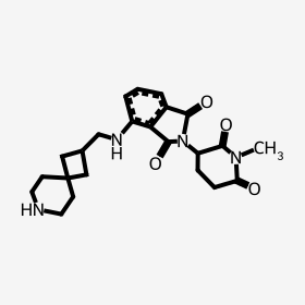 CN1C(=O)CCC(N2C(=O)c3cccc(NCC4CC5(CCNCC5)C4)c3C2=O)C1=O